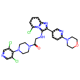 O=C(CNc1c(-c2ccc(N3CCOCC3)nc2)nc2cccc(Cl)n12)N1CCN(c2c(Cl)cncc2Cl)CC1